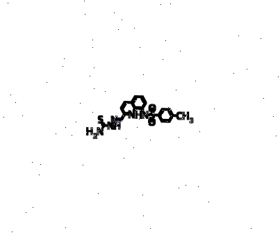 Cc1ccc(S(=O)(=O)Nc2cccc3ccc(/C=N/NC(N)=S)nc23)cc1